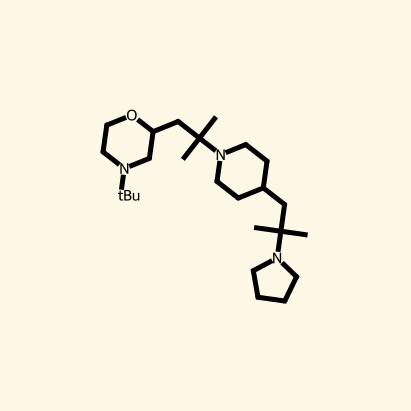 CC(C)(C)N1CCOC(CC(C)(C)N2CCC(CC(C)(C)N3CCCC3)CC2)C1